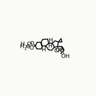 COC1(OC)CCC2=C(CC[C@@H]3[C@@H]2CC[C@@]2(C)[C@H]3CC3(CC3)[C@@]2(O)/C=C\CO)C1